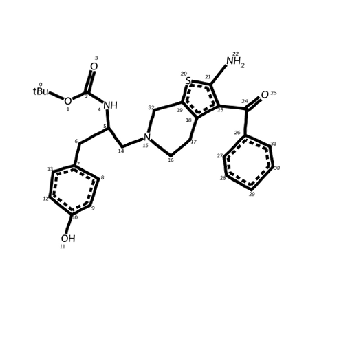 CC(C)(C)OC(=O)NC(Cc1ccc(O)cc1)CN1CCc2c(sc(N)c2C(=O)c2ccccc2)C1